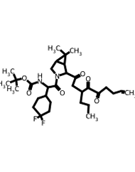 C=CCCC(=O)C(=O)C(CCC)CC(=O)C1C2C(CN1C(=O)C(NC(=O)OC(C)(C)C)C1CCC(F)(F)CC1)C2(C)C